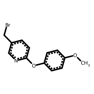 COc1ccc(Oc2ccc(CBr)cn2)cc1